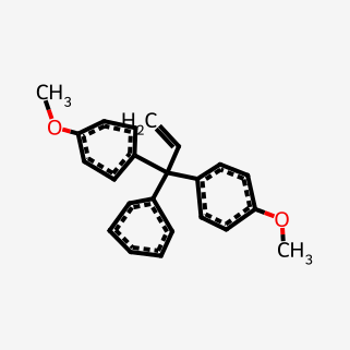 C=CC(c1ccccc1)(c1ccc(OC)cc1)c1ccc(OC)cc1